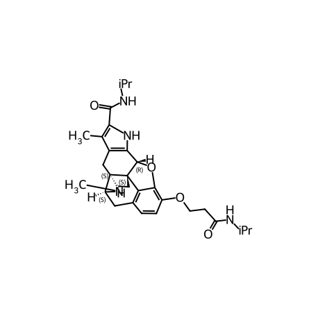 Cc1c(C(=O)NC(C)C)[nH]c2c1C[C@@H]1[C@@H]3Cc4ccc(OCCC(=O)NC(C)C)c5c4[C@@]1(CCN3C)[C@H]2O5